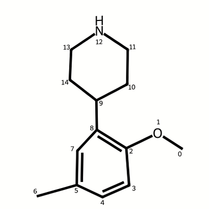 COc1ccc(C)cc1C1CCNCC1